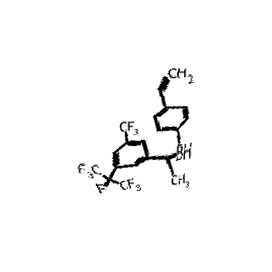 C=Cc1ccc(BC(C)c2cc(C(F)(F)F)cc(C(F)(C(F)(F)F)C(F)(F)F)c2)cc1